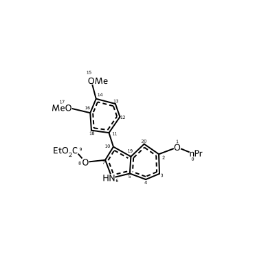 CCCOc1ccc2[nH]c(OC(=O)OCC)c(-c3ccc(OC)c(OC)c3)c2c1